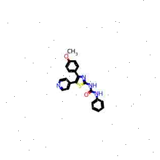 COc1ccc(-c2nc(NC(=O)Nc3ccccc3)sc2-c2ccncc2)cc1